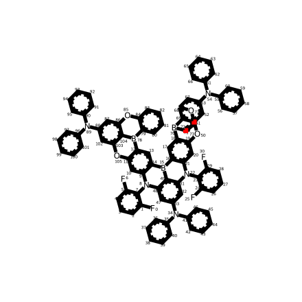 Fc1cccc(F)c1N1c2cc3c(cc2B2c4cc5c(cc4N(c4c(F)cccc4F)c4cc(N(c6ccccc6)c6ccccc6)cc1c42)Oc1cc(N(c2ccccc2)c2ccccc2)cc2c1B5c1ccccc1O2)B1c2ccccc2Oc2cc(N(c4ccccc4)c4ccccc4)cc(c21)O3